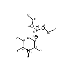 CCC(C)N(C)C(C)CC.CCO[PH](=O)OCC